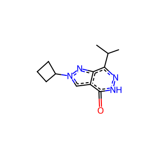 CC(C)c1n[nH]c(=O)c2cn(C3CCC3)nc12